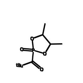 CC1OP(=O)(C(=O)C(C)(C)C)OC1C